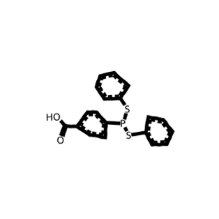 O=C(O)c1ccc(P(Sc2ccccc2)Sc2ccccc2)cc1